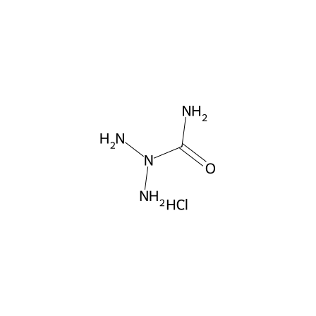 Cl.NC(=O)N(N)N